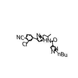 CCCCc1nc(C(=O)NC(C)Cn2ccc(-c3ccc(C#N)c(Cl)c3)n2)cn1C